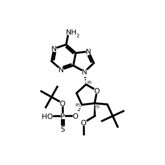 COC[C@]1(CC(C)(C)C)O[C@@H](n2cnc3c(N)ncnc32)C[C@H]1OP(O)(=S)OC(C)(C)C